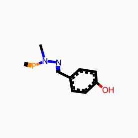 C=PN(C)/N=C/c1ccc(O)cc1